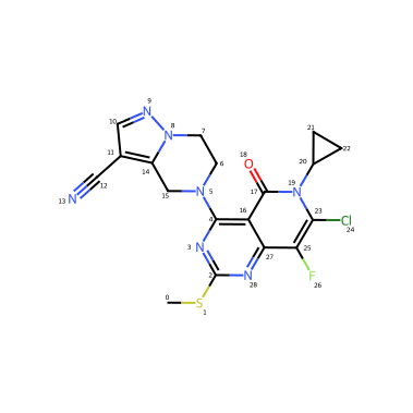 CSc1nc(N2CCn3ncc(C#N)c3C2)c2c(=O)n(C3CC3)c(Cl)c(F)c2n1